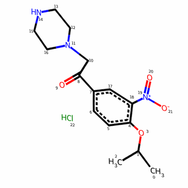 CC(C)Oc1ccc(C(=O)CN2CCNCC2)cc1[N+](=O)[O-].Cl